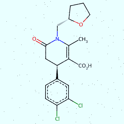 CC1=C(C(=O)O)[C@@H](c2ccc(Cl)c(Cl)c2)CC(=O)N1C[C@@H]1CCCO1